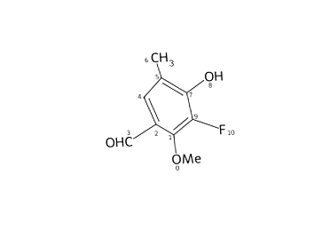 COc1c(C=O)cc(C)c(O)c1F